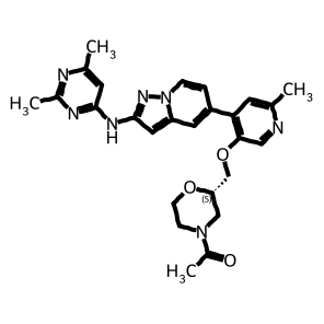 CC(=O)N1CCO[C@H](COc2cnc(C)cc2-c2ccn3nc(Nc4cc(C)nc(C)n4)cc3c2)C1